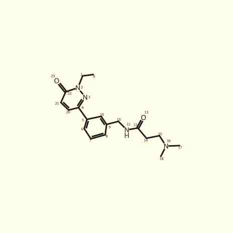 CCn1nc(-c2cccc(CNC(=O)CCN(C)C)c2)ccc1=O